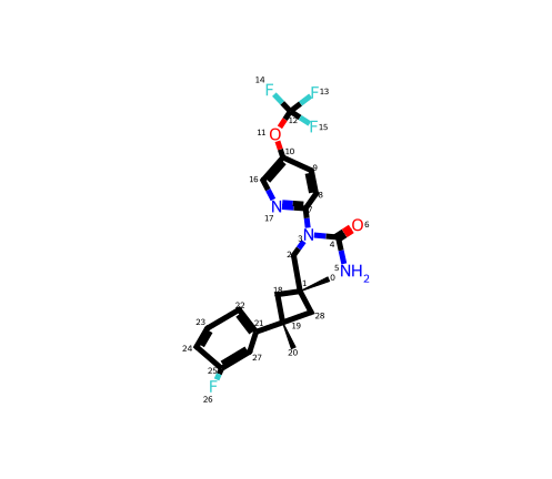 C[C@]1(CN(C(N)=O)c2ccc(OC(F)(F)F)cn2)C[C@@](C)(c2cccc(F)c2)C1